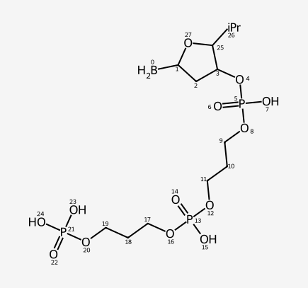 BC1CC(OP(=O)(O)OCCCOP(=O)(O)OCCCOP(=O)(O)O)C(C(C)C)O1